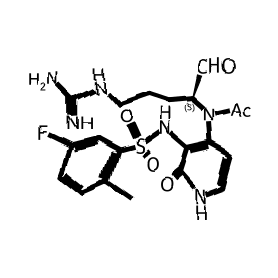 CC(=O)N(c1cc[nH]c(=O)c1NS(=O)(=O)c1cc(F)ccc1C)[C@H](C=O)CCCNC(=N)N